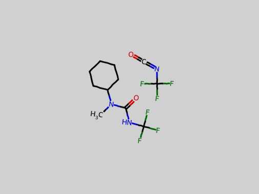 CN(C(=O)NC(F)(F)F)C1CCCCC1.O=C=NC(F)(F)F